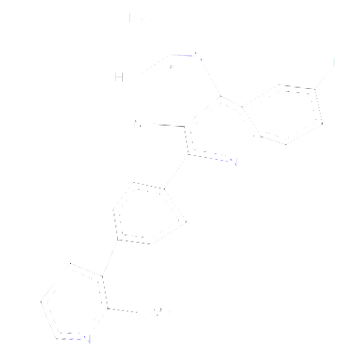 COc1ncccc1-c1ccc(-c2nc3ccc(F)cc3c(N[C@H](C)C(=O)O)c2C#N)cc1